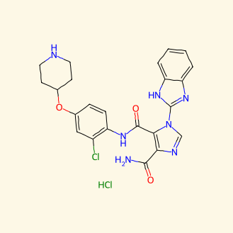 Cl.NC(=O)c1ncn(-c2nc3ccccc3[nH]2)c1C(=O)Nc1ccc(OC2CCNCC2)cc1Cl